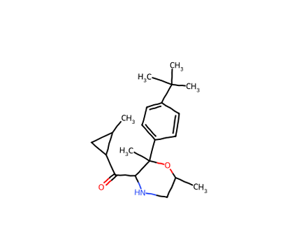 CC1CNC(C(=O)C2CC2C)C(C)(c2ccc(C(C)(C)C)cc2)O1